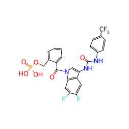 O=C(Nc1ccc(C(F)(F)F)cc1)Nc1cn(C(=O)c2ccccc2COP(=O)(O)O)c2cc(F)c(F)cc12